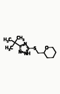 CC(C)(C)c1n[nH]c(SCC2CCCCO2)n1